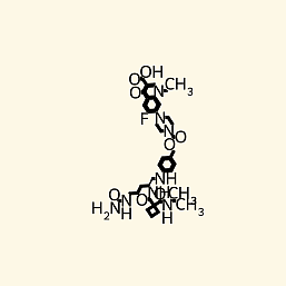 CCn1cc(C(=O)O)c(=O)c2cc(F)c(N3CCN(C(=O)OCc4ccc(NC[C@H](CCCNC(N)=O)NC(=O)C5(C(=O)NC(C)C)CCC5)cc4)CC3)cc21